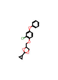 Clc1cc(Oc2ccccc2)ccc1OCC1COC(C2CC2)O1